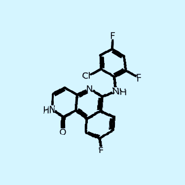 O=c1[nH]ccc2nc(Nc3c(F)cc(F)cc3Cl)c3ccc(F)cc3c12